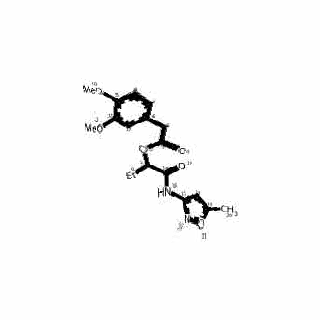 CCC(OC(=O)Cc1ccc(OC)c(OC)c1)C(=O)Nc1cc(C)on1